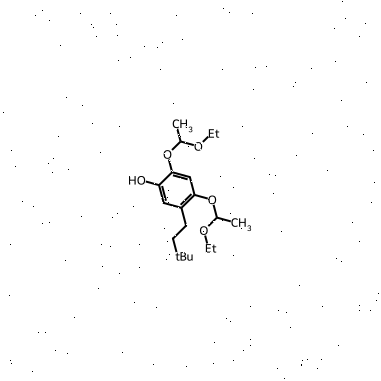 CCOC(C)Oc1cc(OC(C)OCC)c(CCC(C)(C)C)cc1O